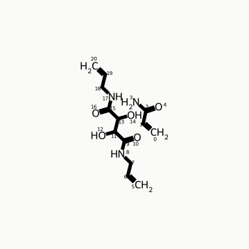 C=CC(N)=O.C=CCNC(=O)C(O)C(O)C(=O)NCC=C